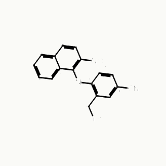 CC(C)Cc1cc(C#N)ccc1Nc1c([N+](=O)[O-])ccc2ccccc12